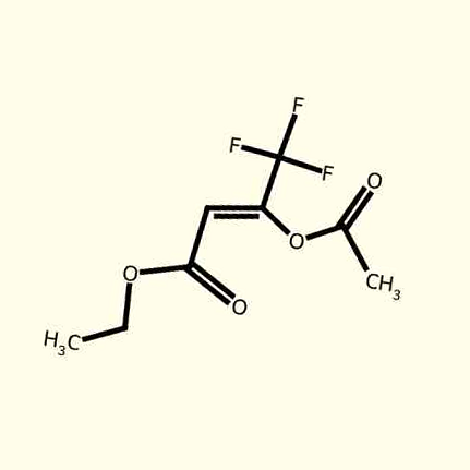 CCOC(=O)/C=C(\OC(C)=O)C(F)(F)F